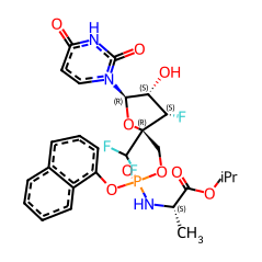 CC(C)OC(=O)[C@H](C)NP(=O)(OC[C@@]1(C(F)F)O[C@@H](n2ccc(=O)[nH]c2=O)[C@H](O)[C@@H]1F)Oc1cccc2ccccc12